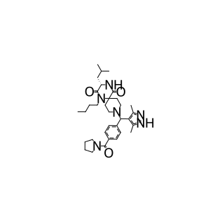 CCCCN1C(=O)[C@H](CC(C)C)NC(=O)C12CCN(C(c1ccc(C(=O)N3CCCC3)cc1)c1c(C)n[nH]c1C)CC2